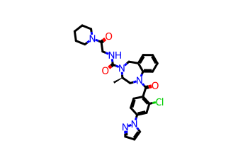 C[C@@H]1CN(C(=O)c2ccc(-n3cccn3)cc2Cl)c2ccccc2CN1C(=O)NCC(=O)N1CCCCC1